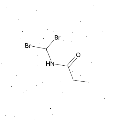 CCC(=O)N[C](Br)Br